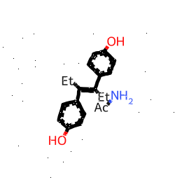 CC(N)=O.CC/C(=C(/CC)c1ccc(O)cc1)c1ccc(O)cc1